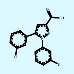 O=C(O)c1cc(-c2cccc(Cl)c2)n(-c2cccc(Br)c2)n1